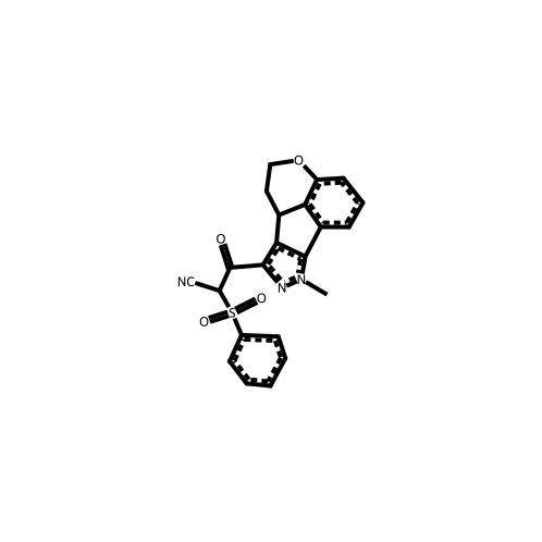 Cn1nc(C(=O)C(C#N)S(=O)(=O)c2ccccc2)c2c1-c1cccc3c1C2CCO3